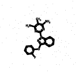 Cc1c(N)nc(-n2nc(Oc3ccccc3F)c3ccccc32)nc1N